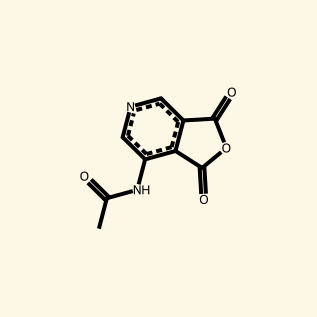 CC(=O)Nc1cncc2c1C(=O)OC2=O